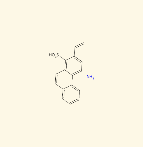 C=Cc1ccc2c(ccc3ccccc32)c1S(=O)(=O)O.N